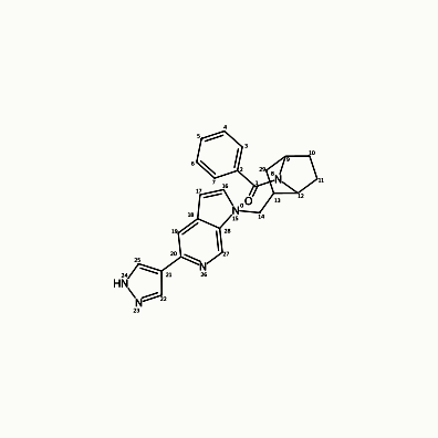 O=C(c1ccccc1)N1C2CCC1C(Cn1ccc3cc(-c4cn[nH]c4)ncc31)C2